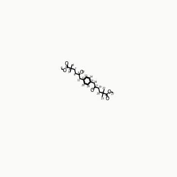 COC(=O)C(C)(C)CCC(=O)Cc1ccc(CC(=O)CCC(C)(C)C(=O)OC)cc1